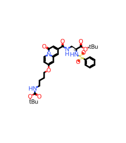 CC(C)(C)OC(=O)NCCCCOc1ccn2c(=O)cc(C(=O)NC[C@H](NS(=O)(=O)c3ccccc3)C(=O)OC(C)(C)C)cc2c1